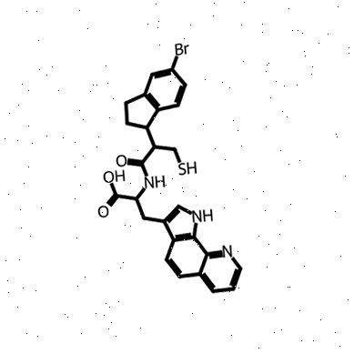 O=C(O)C(Cc1c[nH]c2c1ccc1cccnc12)NC(=O)C(CS)C1CCc2cc(Br)ccc21